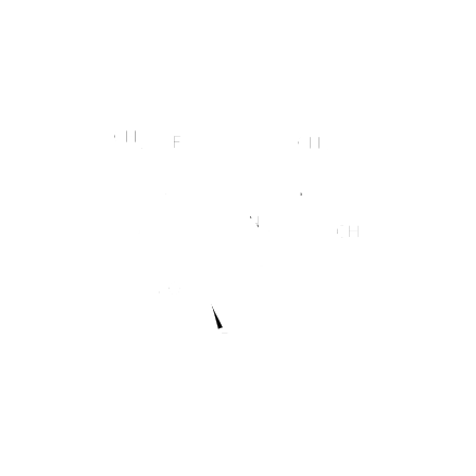 C=C[C@]1(F)CO[C@H](F)CN(C(C)C)C1